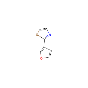 c1csc(-c2ccoc2)n1